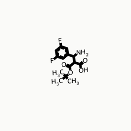 CC(C)(C)OC(=O)C(C(=O)O)C(N)c1cc(F)cc(F)c1